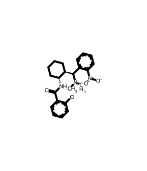 CN(C)C(c1ccccc1[N+](=O)[O-])[C@@H]1CCCC[C@H]1NC(=O)c1ccccc1Cl